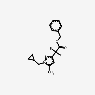 Cc1cc(C(F)(F)C(=O)OCc2ccccc2)nn1CC1CC1